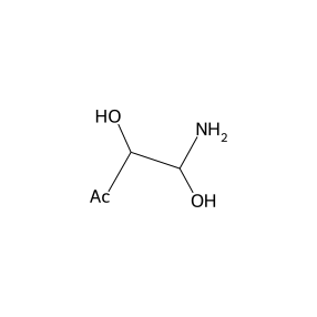 CC(=O)C(O)C(N)O